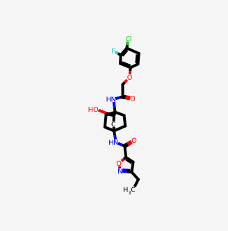 CCc1cc(C(=O)NC23CCC(NC(=O)COc4ccc(Cl)c(F)c4)(CC2)C(O)C3)on1